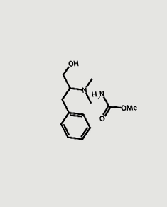 CN(C)C(CO)Cc1ccccc1.COC(N)=O